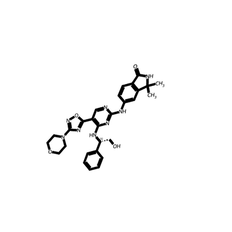 CC1(C)NC(=O)c2ccc(Nc3ncc(-c4nc(N5CCOCC5)no4)c(N[C@H](CO)c4ccccc4)n3)cc21